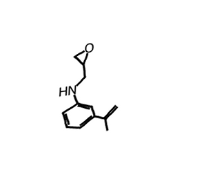 C=C(C)c1cccc(NCC2CO2)c1